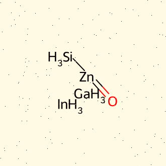 [GaH3].[InH3].[O]=[Zn][SiH3]